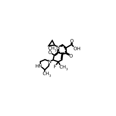 COC1=c2c(c(=O)c(C(=O)O)cn2C2CC2)=CC(C)(F)C1N1CCNC(C)C1